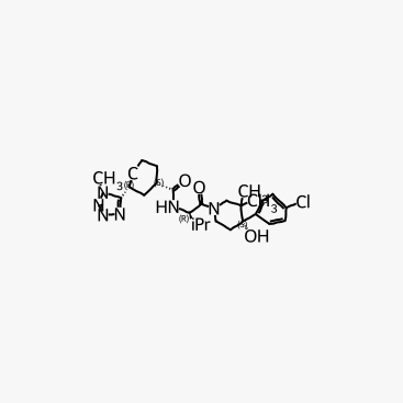 CC(C)[C@@H](NC(=O)[C@H]1CCC[C@@H](c2nnnn2C)C1)C(=O)N1CC[C@](O)(c2ccc(Cl)cc2)C(C)(C)C1